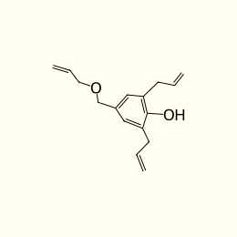 C=CCOCc1cc(CC=C)c(O)c(CC=C)c1